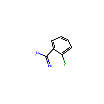 N=C(N)c1c[c]ccc1Cl